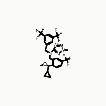 COC(c1ccc(C(F)(F)F)cc1CN(Cc1cc(C(F)(F)F)cc(C(F)(F)F)c1)c1nnn(C)n1)C1CC1